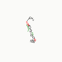 C=CCCCOc1ccc(-c2ccc(CCc3ccc(C4=CCC(OCCCC)CC4)c(F)c3F)cc2)c(F)c1F